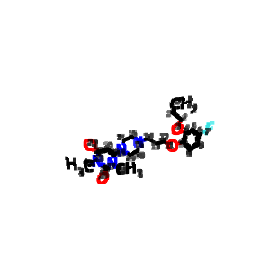 C=CCOc1cc(F)ccc1OCCCN1CCN(c2cc(=O)n(C)c(=O)n2C)CC1